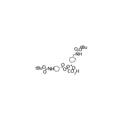 CC(C)(C)OC(=O)NC[C@H]1CC[C@H](C(=O)OC(OC(=O)[C@H]2CC[C@H](CNC(=O)OC(C)(C)C)CC2)C(=O)O)CC1